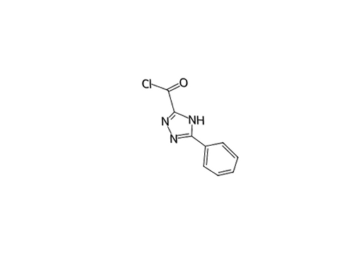 O=C(Cl)c1nnc(-c2ccccc2)[nH]1